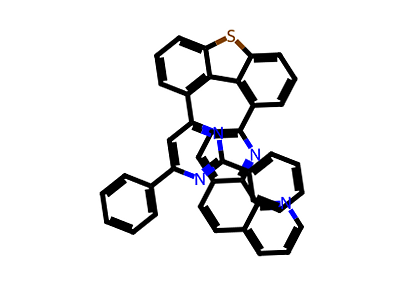 c1ccc(-c2cc(-c3cccc4sc5cccc(-c6ccc7ccc8cccnc8c7n6)c5c34)nc(-c3ccccc3)n2)cc1